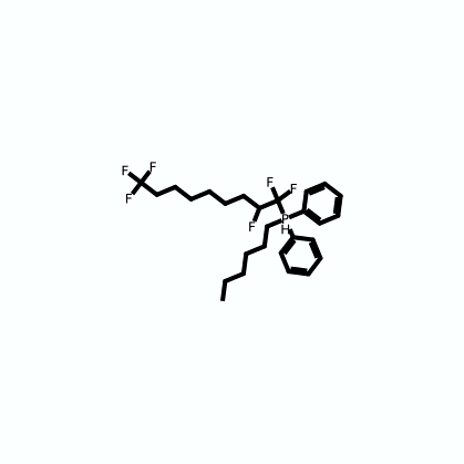 CCCCCC[PH](c1ccccc1)(c1ccccc1)C(F)(F)C(F)CCCCCCC(F)(F)F